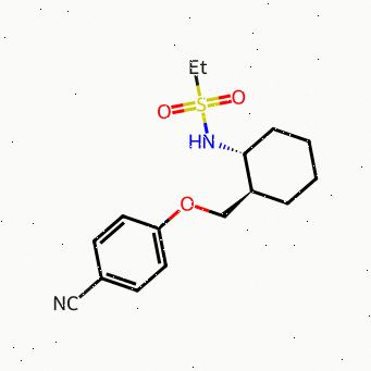 CCS(=O)(=O)N[C@@H]1CCCC[C@H]1COc1ccc(C#N)cc1